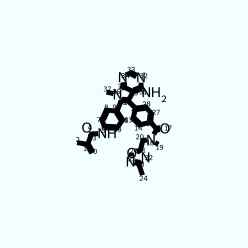 C=C(C)C(=O)Nc1ccc(-c2c(-c3ccc(C(=O)N(C)Cc4nc(C)no4)cc3)c3c(N)ncnc3n2C)cc1